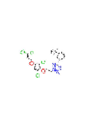 FC(F)(F)c1cccc(-c2nnn(CCOc3c(Cl)cc(OCC=C(Cl)Cl)cc3Cl)n2)c1